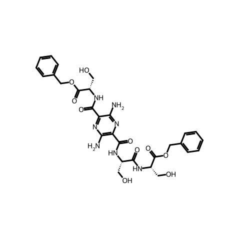 Nc1nc(C(=O)N[C@@H](CO)C(=O)OCc2ccccc2)c(N)nc1C(=O)N[C@@H](CO)C(=O)N[C@@H](CO)C(=O)OCc1ccccc1